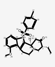 CC[C@@H]1CN2CCc3c(n(S(=O)(=O)c4ccc(C)cc4)c4cccc(OC)c34)[C@H]2CC1=O